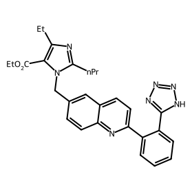 CCCc1nc(CC)c(C(=O)OCC)n1Cc1ccc2nc(-c3ccccc3-c3nnn[nH]3)ccc2c1